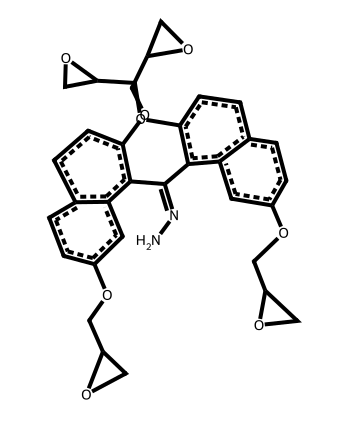 NN=C(c1c(OCC2CO2)ccc2ccc(OCC3CO3)cc12)c1c(OCC2CO2)ccc2ccc(OCC3CO3)cc12